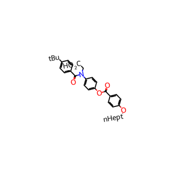 CCCCCCCOc1ccc(C(=O)Oc2ccc(N(CC(=O)O)C(=O)c3ccc(C(C)(C)C)cc3)cc2)cc1